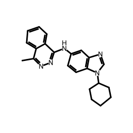 Cc1nnc(Nc2ccc3c(c2)ncn3C2CCCCC2)c2ccccc12